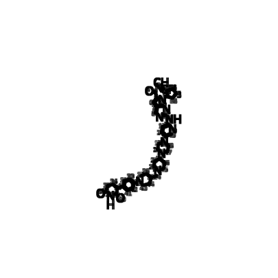 CN(C)C(=O)c1cc2cnc(Nc3ccc(N4CCN(C5CCN(CC6CCN(c7ccc(C8CCC(=O)NC8=O)cc7)CC6)CC5)CC4)cn3)nc2n1C1CCCC1